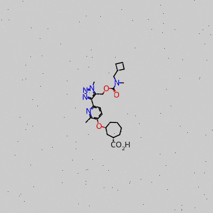 Cc1nc(-c2nnn(C)c2COC(=O)N(C)CC2CCC2)ccc1O[C@H]1CCCC[C@@H](C(=O)O)C1